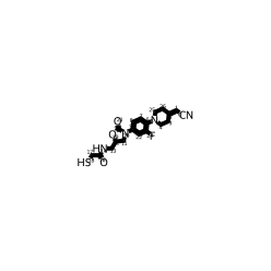 N#CC=C1CCN(c2ccc(N3CC(CNC(=O)CS)OC3=O)cc2F)CC1